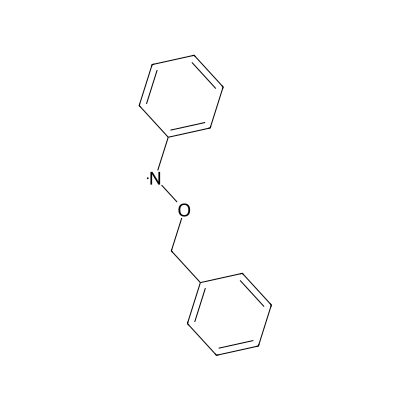 c1ccc(CO[N]c2ccccc2)cc1